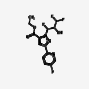 CCOC(=O)c1cc(-c2ccc(F)cn2)nn1C(F)C(O)C(F)F